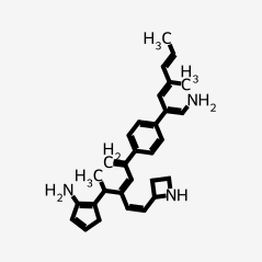 C=C(/C=C(/C=C\C1CCN1)C(C)C1=C(N)C=CC1)c1ccc(C(/C=C(\C)C=CC)=C/N)cc1